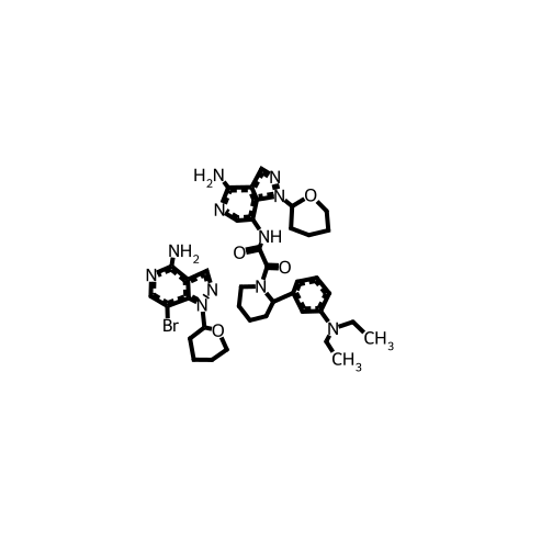 CCN(CC)c1cccc(C2CCCCN2C(=O)C(=O)Nc2cnc(N)c3cnn(C4CCCCO4)c23)c1.Nc1ncc(Br)c2c1cnn2C1CCCCO1